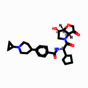 O=C(N[C@H](C(=O)N1C[C@H](O)[C@H]2OCC(=O)[C@H]21)C1CCCC1)c1ccc(C2CCN(C3CC3)CC2)cc1